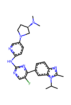 Cc1nc2ccc(-c3nc(Nc4ccc(N5CC[C@@H](N(C)C)C5)cn4)ncc3F)cc2n1C(C)C